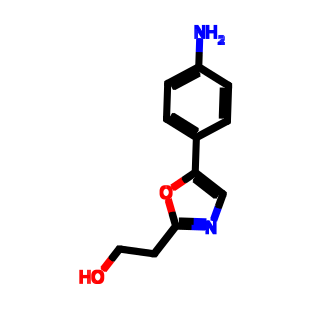 Nc1ccc(-c2cnc(CCO)o2)cc1